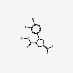 CC(C)(C)OC(=O)N1CC(=C(F)F)CC1c1ccc(Br)c(F)c1